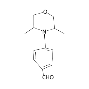 CC1COCC(C)N1c1ccc(C=O)cc1